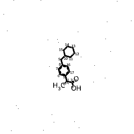 C[C@H](C(=O)O)c1ccc(CC2CCCCC2)cc1